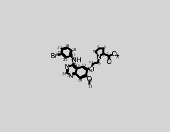 COC(=O)C1CCCN1CCOc1cc2c(Nc3cccc(Br)c3)ncnc2cc1OC